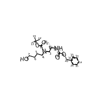 C[C@@H](CN(CCCCO)C(=O)OC(C)(C)C)NC(=O)OCc1ccccc1